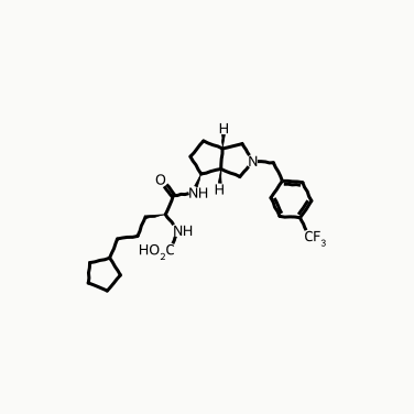 O=C(O)N[C@@H](CCCC1CCCC1)C(=O)N[C@H]1CC[C@@H]2CN(Cc3ccc(C(F)(F)F)cc3)C[C@@H]21